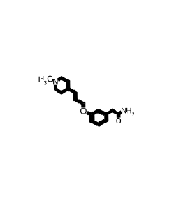 CN1CCC(CCCOc2cccc(CC(N)=O)c2)CC1